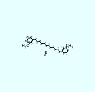 C[n+]1cccc(CCCCCCCCCCCCc2ccc[n+](C)c2)c1.[I-].[I-]